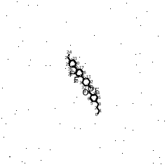 CCCCc1ccc(C(=O)OC2CCC(c3ccc(-c4ccc(CC)cc4)c(F)c3F)CC2)c(F)c1